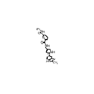 Cc1nc2cc(N3C=C(CNC(=O)c4cccc(C(=O)NC(C)C)n4)CN3)ccc2[nH]1